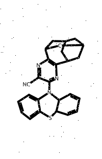 N#Cc1nc2c(nc1N1c3ccccc3SC3C=CC=CC31)C1CC3CC(CC2C3)C1